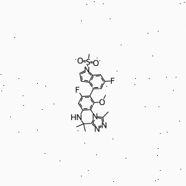 COc1c(-c2cc(F)cc3c2ccn3S(C)(=O)=O)c(F)cc2c1-n1c(C)nnc1C(C)(C)N2